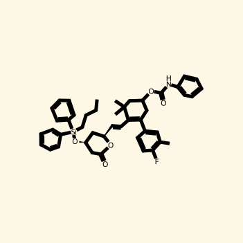 CCCC[Si](O[C@H]1CC(=O)O[C@H](/C=C/C2=C(c3ccc(F)c(C)c3)CC(OC(=O)Nc3ccccc3)CC2(C)C)C1)(c1ccccc1)c1ccccc1